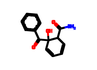 NC(=O)C1C=CC=CC1(O)C(=O)c1ccccc1